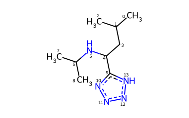 CC(C)CC(NC(C)C)c1nnn[nH]1